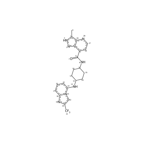 Cc1[nH]nc2c(C(=O)NC3CCC(Nc4cccc5nc(C(F)(F)F)cn45)CC3)ccnc12